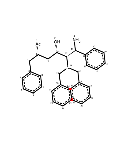 CC(=O)[C@@H](Cc1ccccc1)C[C@H](O)[C@H](C(N)c1ccccc1)N(Cc1ccccc1)Cc1ccccc1